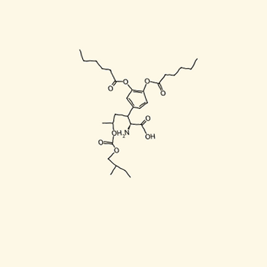 CCCCCC(=O)Oc1ccc(C(CC(C)OC(=O)OCC(C)CC)[C@H](N)C(=O)O)cc1OC(=O)CCCCC